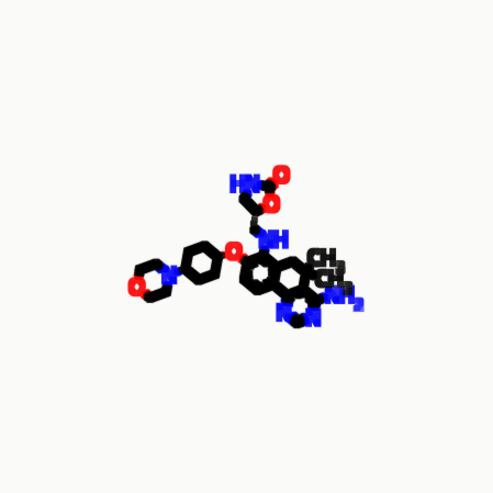 CC1(C)Cc2c(ccc(O[C@H]3CC[C@H](N4CCOCC4)CC3)c2NC[C@@H]2CNC(=O)O2)-c2ncnc(N)c21